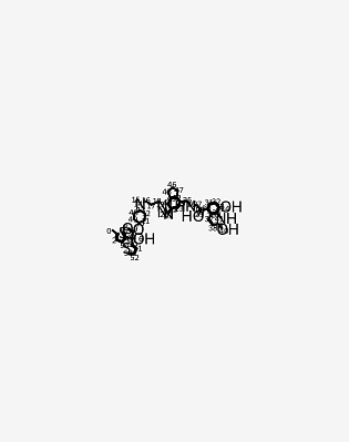 Cc1ccc([C@](O)(C(=O)O[C@H]2CC[C@H](N(C)CCCn3nnc4cc(CNC[C@H](O)c5ccc(O)c6c5C=CC(O)N6)c5c(c43)CCC5)CC2)c2cccs2)s1